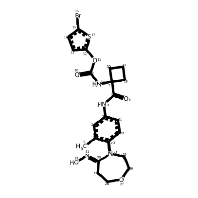 Cc1cc(NC(=O)C2(NC(=O)Oc3ccc(Br)s3)CCC2)ccc1N1CCOCCC1=NO